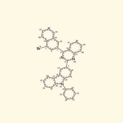 Brc1cc(-c2nc(-c3ccc4c(c3)c3ccccc3n4-c3ccccc3)nc3ccccc23)cc2ccccc12